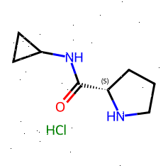 Cl.O=C(NC1CC1)[C@@H]1CCCN1